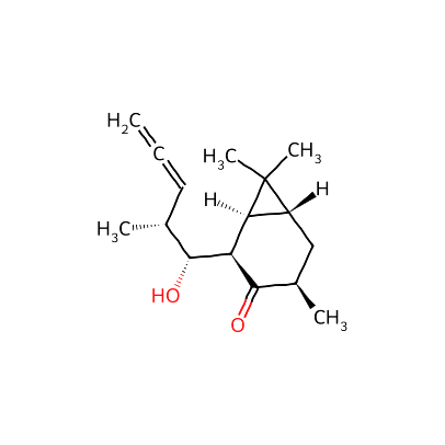 C=C=C[C@@H](C)[C@@H](O)[C@@H]1C(=O)[C@H](C)C[C@@H]2[C@@H]1C2(C)C